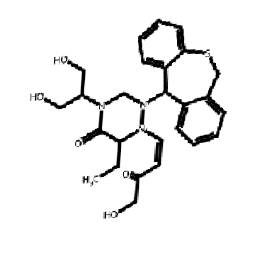 CCC1C(=O)N(C(CO)CO)CN(C2c3ccccc3CSc3ccccc32)N1/C=C\C(=O)CO